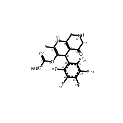 COC(=O)OC1=C(C)NC2=C(C(=O)CNC2)C1c1c(F)c(F)c(F)c(F)c1F